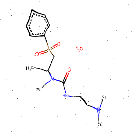 CCN(CC)CCNC(=O)N(C(C)C)C(C)CS(=O)(=O)c1ccccc1.O